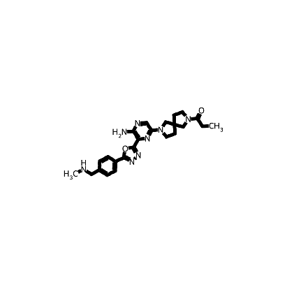 CCC(=O)N1CCC2(CCN(c3cnc(N)c(-c4nnc(-c5ccc(CNC)cc5)o4)n3)C2)C1